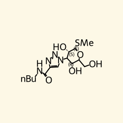 CCCCNC(=O)c1cn(C2[C@@H](O)C(CO)O[C@@H](SC)[C@H]2O)nn1